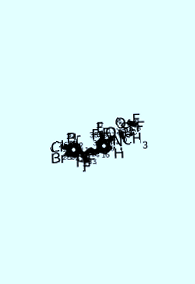 C[C@H](CS(=O)(=O)CC(F)(F)F)NC(=O)c1ccc(/C=C/C(c2cc(Br)c(Cl)c(Br)c2)C(F)(F)F)cc1C(F)(F)F